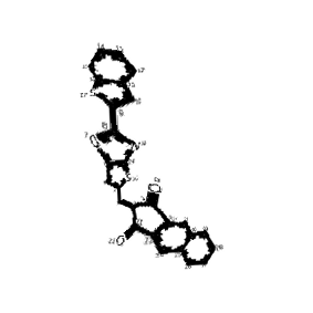 O=C1C(=Cc2cc3oc(-c4cc5ccccc5s4)nc3s2)C(=O)c2cc3ccccc3cc21